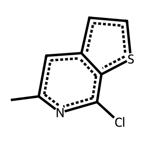 Cc1cc2ccsc2c(Cl)n1